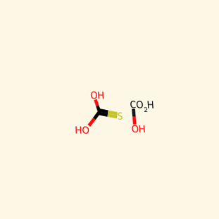 O=C(O)O.OC(O)=S